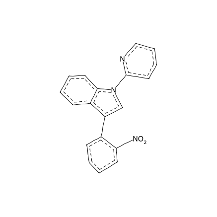 O=[N+]([O-])c1ccccc1-c1cn(-c2ccccn2)c2ccccc12